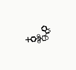 CC(C)(C)c1ccc(S(=O)(=O)N2CCO[C@H](c3csc4ccccc34)C2)cc1